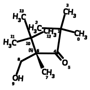 CC(C)(C)C(=O)[C@](C)(CO)C(C)(C)C